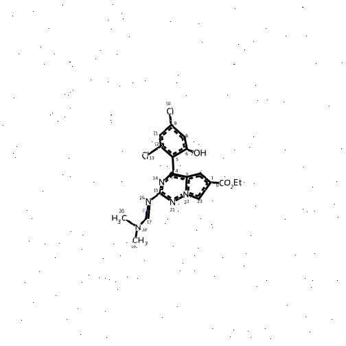 CCOC(=O)c1cc2c(-c3c(O)cc(Cl)cc3Cl)nc(/N=C/N(C)C)nn2c1